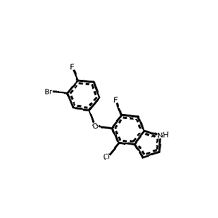 Fc1ccc(Oc2c(F)cc3[nH]ccc3c2Cl)cc1Br